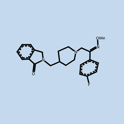 CO/N=C(\CN1CCC(CN2Cc3ccccc3C2=O)CC1)c1ccc(F)cc1